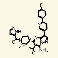 CC(=O)c1c([C@@H]2CCN(C(=O)c3ccn[nH]3)[C@@H](C)C2)nc2c(-c3ccc(-c4ccc(F)cc4)nc3)cnn2c1N